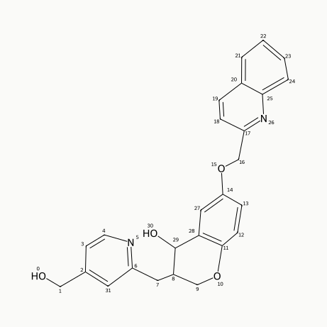 OCc1ccnc(CC2COc3ccc(OCc4ccc5ccccc5n4)cc3C2O)c1